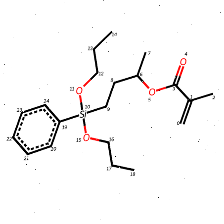 C=C(C)C(=O)OC(C)CC[Si](OCCC)(OCCC)c1ccccc1